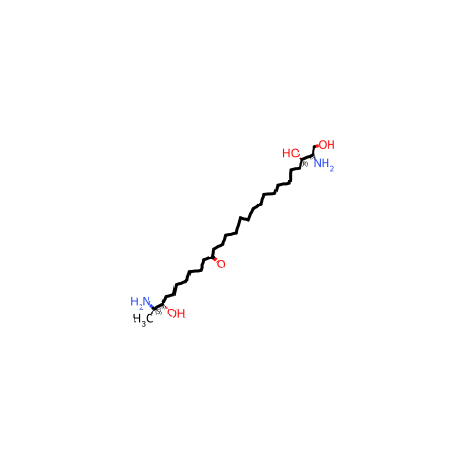 C[C@H](N)[C@@H](O)CCCCCCCC(=O)CCCCCCCCCCCCCC[C@@H](O)[C@@H](N)CO